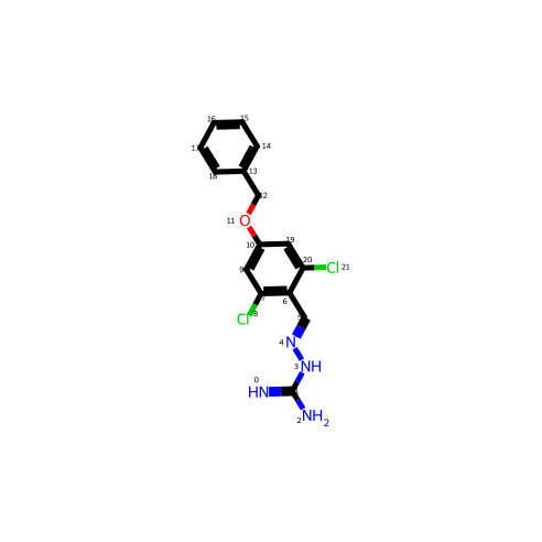 N=C(N)N/N=C/c1c(Cl)cc(OCc2ccccc2)cc1Cl